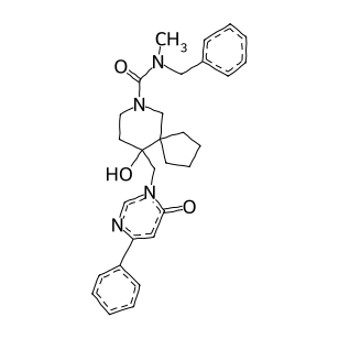 CN(Cc1ccccc1)C(=O)N1CCC(O)(Cn2cnc(-c3ccccc3)cc2=O)C2(CCCC2)C1